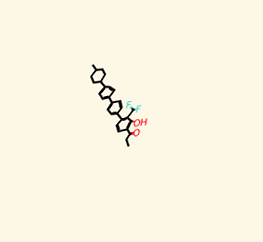 CCC(=O)c1ccc(-c2ccc(-c3ccc(C4CCC(C)CC4)cc3)cc2)c(C(F)F)c1O